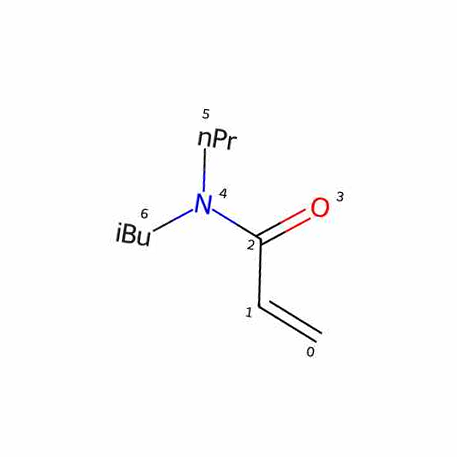 C=CC(=O)N(CCC)C(C)CC